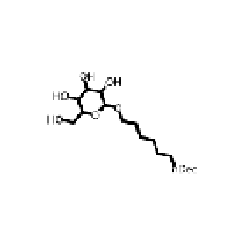 CCCCCCCCCCCCCCCCOC1OC(CO)C(O)C(O)C1O